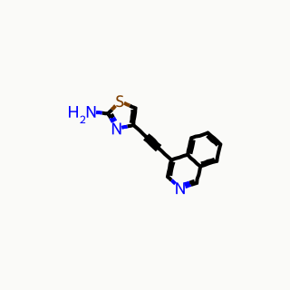 Nc1nc(C#Cc2cncc3ccccc23)cs1